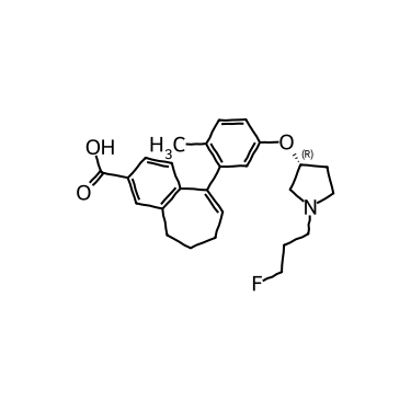 Cc1ccc(O[C@@H]2CCN(CCCF)C2)cc1C1=CCCCc2cc(C(=O)O)ccc21